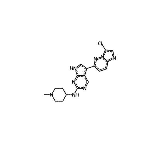 CN1CCC(Nc2ncc3c(-c4ccc5ncc(Cl)n5n4)c[nH]c3n2)CC1